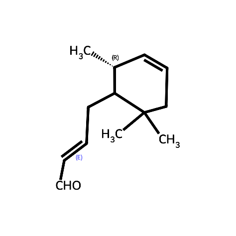 C[C@@H]1C=CCC(C)(C)C1C/C=C/C=O